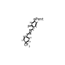 CCCCCc1ccc(C=NN=Cc2ccc(C(F)(F)F)cc2)c(F)c1